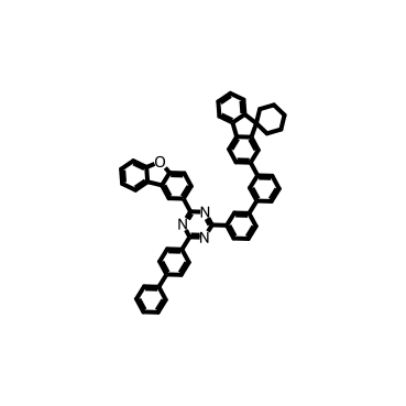 c1ccc(-c2ccc(-c3nc(-c4cccc(-c5cccc(-c6ccc7c(c6)C6(CCCCC6)c6ccccc6-7)c5)c4)nc(-c4ccc5oc6ccccc6c5c4)n3)cc2)cc1